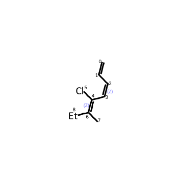 C=C/C=C\C(Cl)=C(/C)CC